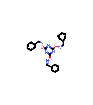 C(=N/Oc1nc(O/N=C\c2ccccc2)nc(O/N=C\c2ccccc2)n1)/c1ccccc1